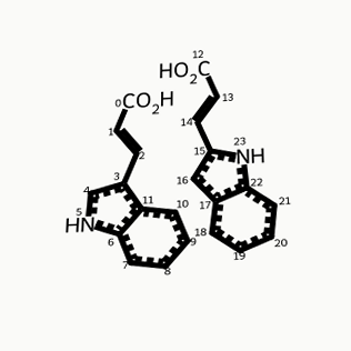 O=C(O)C=Cc1c[nH]c2ccccc12.O=C(O)C=Cc1cc2ccccc2[nH]1